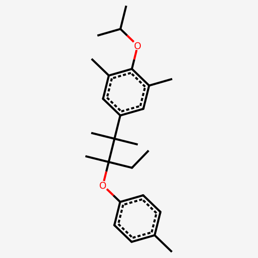 CCC(C)(Oc1ccc(C)cc1)C(C)(C)c1cc(C)c(OC(C)C)c(C)c1